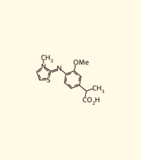 COc1cc(C(C)C(=O)O)ccc1N=c1sccn1C